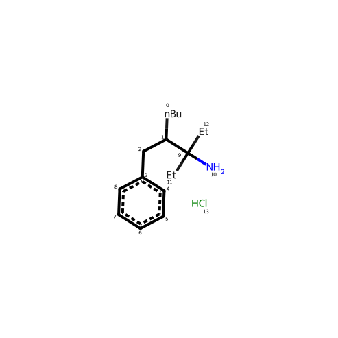 CCCCC(Cc1ccccc1)C(N)(CC)CC.Cl